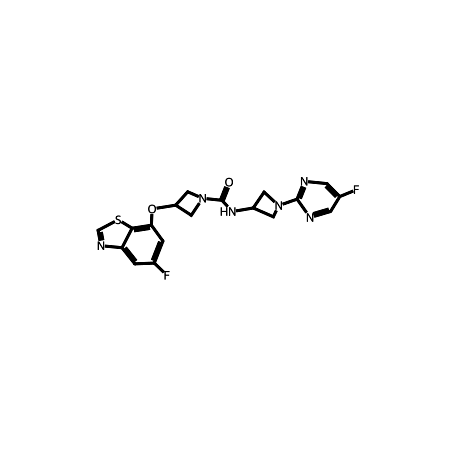 O=C(NC1CN(c2ncc(F)cn2)C1)N1CC(Oc2cc(F)cc3ncsc23)C1